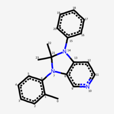 Cc1ccccc1N1c2cnccc2N(c2ccccc2)C1(C)C